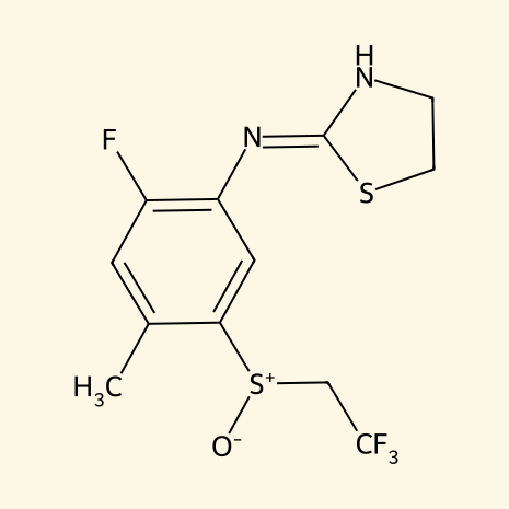 Cc1cc(F)c(/N=C2/NCCS2)cc1[S+]([O-])CC(F)(F)F